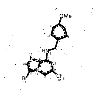 COc1ccc(CNc2nc(C(F)(F)F)cn3c(Br)cnc23)cc1